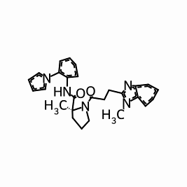 Cn1c(CCC(=O)N2CCC[C@@]2(C)C(=O)Nc2ccccc2-n2cccc2)nc2ccccc21